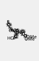 COc1cc2c(cc1OC)CC1(CCCCN1CCCC(CCCNC(=O)CCc1ccc(F)cc1)(c1ccccc1)c1ccccc1)CC2.Cl